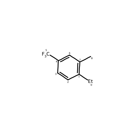 CCc1ccc(C(F)(F)F)cc1C